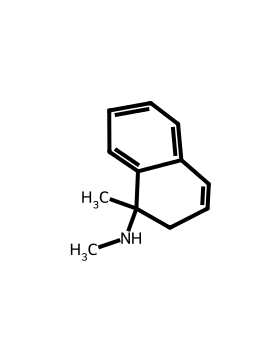 CNC1(C)CC=Cc2ccccc21